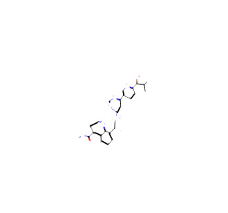 CNC(=O)c1ccnc2c([C@H](C)CNc3cc(-c4ccc(C(O)C(C)C)nc4)ncn3)ccc(F)c12